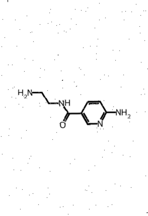 NCCNC(=O)c1ccc(N)nc1